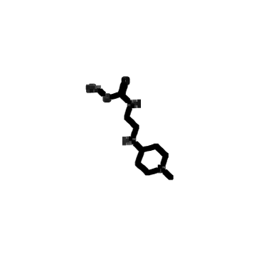 CN1CCC(NCCNC(=O)OC(C)(C)C)CC1